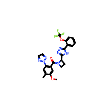 COc1cc(C(=O)N2CCC2c2nnc(-c3ccccc3OC(F)(F)F)[nH]2)c(-n2nccn2)cc1C